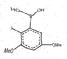 COc1cc(OC)c(I)c(B(O)O)c1